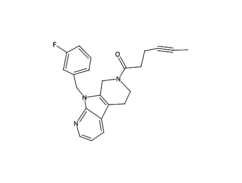 CC#CCCC(=O)N1CCc2c(n(Cc3cccc(F)c3)c3ncccc23)C1